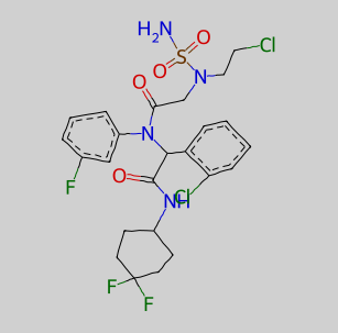 NS(=O)(=O)N(CCCl)CC(=O)N(c1cccc(F)c1)C(C(=O)NC1CCC(F)(F)CC1)c1ccccc1Cl